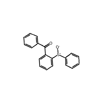 O=C(c1ccccc1)c1ccccc1[S+]([O-])c1ccccc1